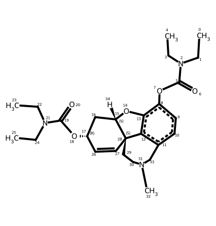 CCN(CC)C(=O)Oc1ccc2c3c1O[C@H]1C[C@@H](OC(=O)N(CC)CC)C=C[C@@]31CCN(C)C2